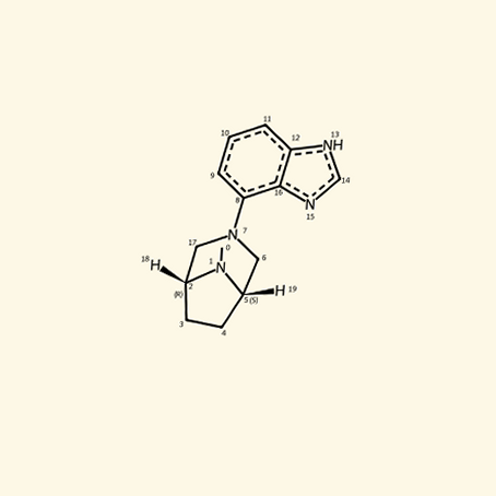 CN1[C@@H]2CC[C@H]1CN(c1cccc3[nH]cnc13)C2